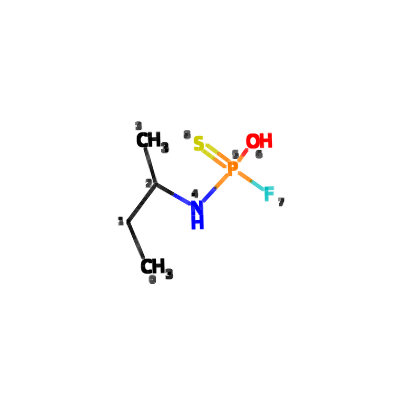 CCC(C)NP(O)(F)=S